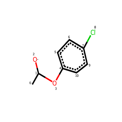 CC([O])Oc1ccc(Cl)cc1